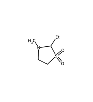 CCC1N(C)CCS1(=O)=O